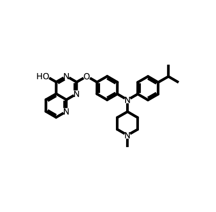 CC(C)c1ccc(N(c2ccc(Oc3nc(O)c4cccnc4n3)cc2)C2CCN(C)CC2)cc1